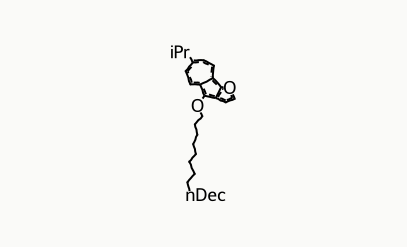 CCCCCCCCCCCCCCCCCCOc1c2ccc(C(C)C)ccc-2c2occc12